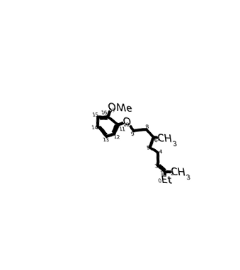 CCC(C)=CCCC(C)CCOc1ccccc1OC